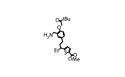 CCC(CCc1ccc(OCC(=O)C(C)(C)C)c(CN)c1)c1ccc(C(=O)OC)s1